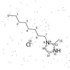 CCCCCCCC[n+]1cc[nH]c1C.[Cl-]